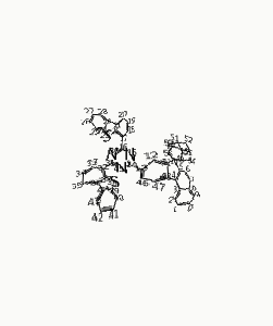 c1ccc2c3c(ccc2c1)C1(c2cc(-c4nc(-c5cccc6c5sc5ccccc56)nc(-c5cccc6c5sc5ccccc56)n4)ccc2-3)C2CC3CC(C2)CC1C3